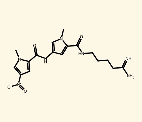 Cn1cc(NC(=O)c2cc([N+](=O)[O-])cn2C)cc1C(=O)NCCCCC(=N)N